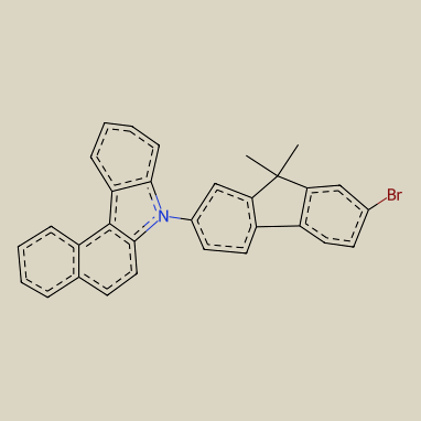 CC1(C)c2cc(Br)ccc2-c2ccc(-n3c4ccccc4c4c5ccccc5ccc43)cc21